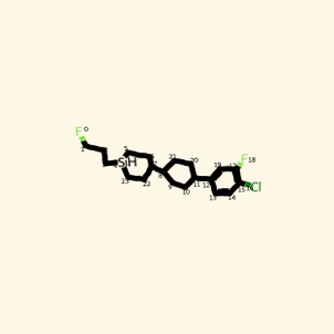 FCCC[SiH]1CCC(C2CCC(c3ccc(Cl)c(F)c3)CC2)CC1